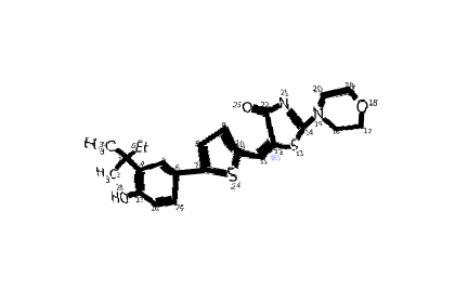 CCC(C)(C)c1cc(-c2ccc(/C=C3/SC(N4CCOCC4)=NC3=O)s2)ccc1O